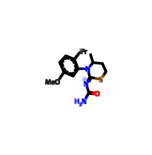 COc1ccc(C(C)C)c(N2/C(=N/C(N)=O)SCCC2C)c1